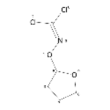 ClC(Cl)=NOC1CCCO1